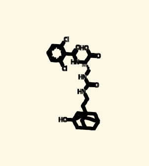 O=C(NCCC12CC3CC(CC(O)(C3)C1)C2)NC[C@H](NC(=O)c1c(Cl)cccc1Cl)C(=O)O